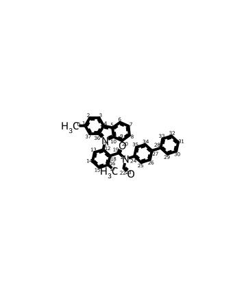 Cc1ccc2c3ccccc3n(-c3cccc(C)c3C(=O)N(C=O)c3ccc(-c4ccccc4)cc3)c2c1